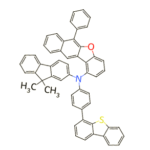 CC1(C)c2ccccc2-c2ccc(N(c3ccc(-c4cccc5c4sc4ccccc45)cc3)c3cccc4oc5c(-c6ccccc6)c6ccccc6cc5c34)cc21